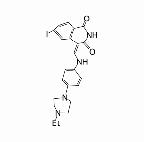 CCN1CCN(c2ccc(NC=C3C(=O)NC(=O)c4ccc(I)cc43)cc2)CC1